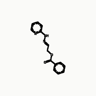 O=C(OCC=NNc1ccccn1)c1ccccc1